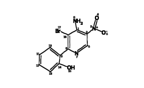 Nc1c([N+](=O)[O-])cnc(-c2ccccc2O)c1Br